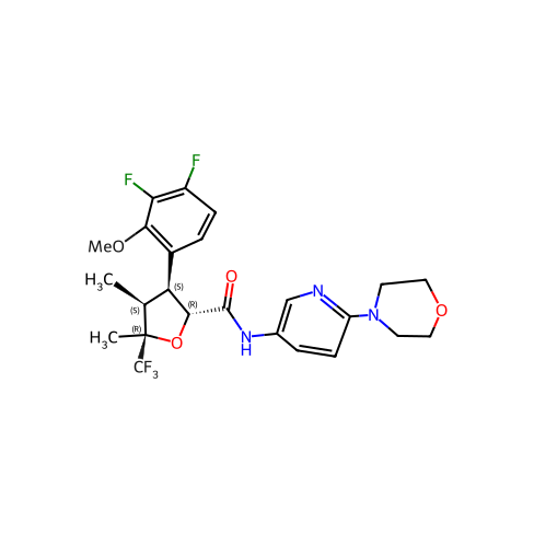 COc1c([C@H]2[C@H](C(=O)Nc3ccc(N4CCOCC4)nc3)O[C@@](C)(C(F)(F)F)[C@H]2C)ccc(F)c1F